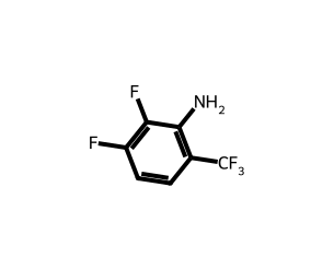 Nc1c(C(F)(F)F)ccc(F)c1F